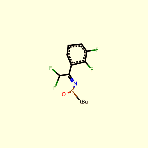 CC(C)(C)[S+]([O-])N=C(c1cccc(F)c1F)C(F)F